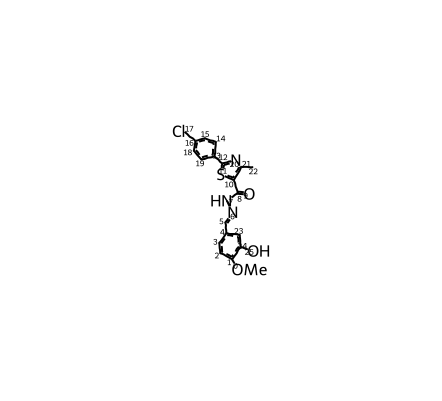 COc1ccc(/C=N/NC(=O)c2sc(-c3ccc(Cl)cc3)nc2C)cc1O